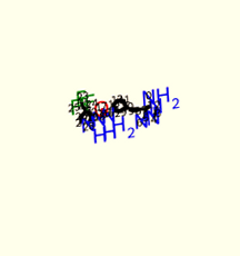 Nc1ncnc(N)c1C#Cc1cccc(NC(=O)Nc2cc(C(F)(F)F)ccn2)c1